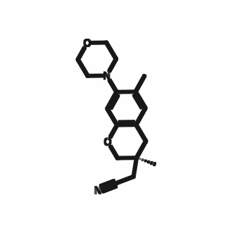 Cc1cc2c(cc1N1CCOCC1)OC[C@](C)(CC#N)C2